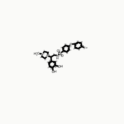 CN1CCN(C(CNS(=O)(=O)c2ccc(Oc3ccc(F)cc3)cc2)c2ccc(O)c(O)c2)CC1